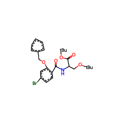 CC(C)(C)OCC(NC(=O)c1ccc(Br)cc1OCc1ccccc1)C(=O)OC(C)(C)C